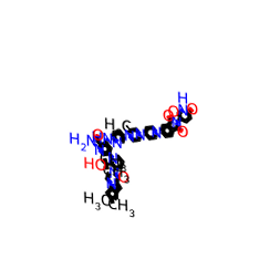 C[C@H]1CN(C2CCN(c3ccc4c(c3)C(=O)N(C3CCC(=O)NC3=O)C4=O)CC2)CCN1c1ccc(Nc2cc(N3CCC[C@H](N4CCn5c(cc6c5CC(C)(C)C6)C4=O)[C@H]3C(C)(C)O)cnc2C(N)=O)nc1